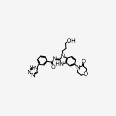 O=C(/N=c1\[nH]c2cc(N3CCOCC3=O)ccc2n1CCCO)c1cccc(-n2cnnn2)c1